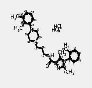 Cc1ccccc1-n1c(C)nc(C(=O)NCCCN2CCN(c3cccc(C)c3C)CC2)c1C.Cl.Cl